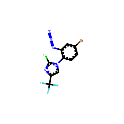 [N-]=[N+]=Nc1cc(Br)ccc1-n1cc(C(F)(F)F)nc1Cl